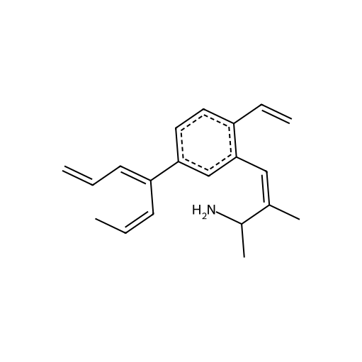 C=C/C=C(\C=C/C)c1ccc(C=C)c(/C=C(/C)C(C)N)c1